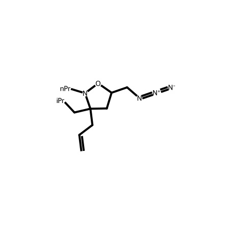 C=CCC1(CC(C)C)CC(CN=[N+]=[N-])ON1CCC